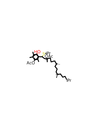 CC(=O)Oc1c(C)c(C)c(O)c(C(C[C@@](C)(CCC[C@H](C)CCC[C@H](C)CCCC(C)C)OC(C)=O)SC(C)C)c1C